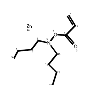 C=CC(=O)ON(CCCC)CCCC.[Zn]